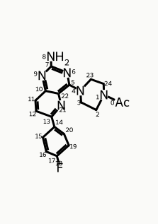 CC(=O)N1CCN(c2nc(N)nc3ccc(-c4ccc(F)cc4)nc23)CC1